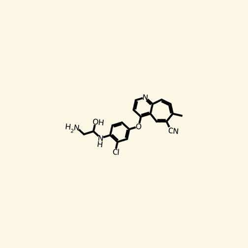 CC1=C=Cc2nccc(Oc3ccc(NC(O)CN)c(Cl)c3)c2C=C1C#N